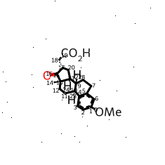 COc1ccc2c(c1)CC[C@@H]1[C@@H]2CC[C@]2(C)C(=O)[C@H](CC(=O)O)C[C@@H]12